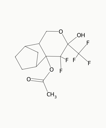 CC(=O)OC12C3CCC(C3)C1COC(O)(C(F)(F)F)C2(F)F